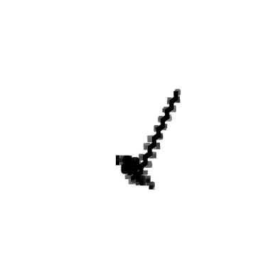 CCCCCCCCCCCCCCCCCCC(C)(N)C(C)(C)S(=O)(=O)O